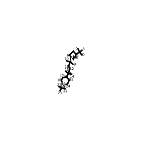 CC(C)(C)C1CCN(C(C)(C)CCC(C)(C)C2CCN(C(C)(C)C)CC2)C1